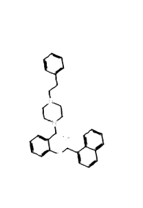 O[C@H](c1ccccc1SCc1cccc2ccccc12)N1CCN(CCc2ccccc2)CC1